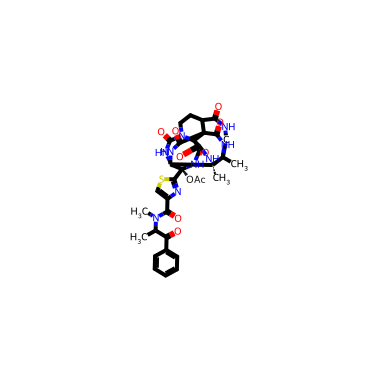 CC(=O)O[C@]1(c2nc(C(=O)N(C)C(C)C(=O)c3ccccc3)cs2)NC(=O)[C@@]23C(=O)N[C@@]4(C)C5(C)CNC(=O)C6CCN2C(=O)N[C@]14NC(=O)C63C(=O)N5